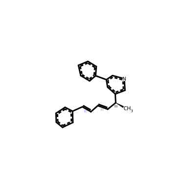 C[C@@H](/C=C/C=C/c1ccccc1)c1cncc(-c2ccccc2)c1